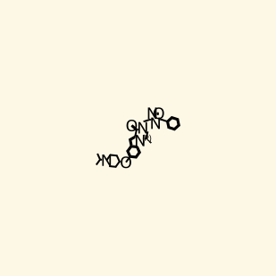 CC(C)N1CCC(Oc2ccc3c(c2)cc2n3[C@H](C)CN(Cc3noc(-c4ccccc4)n3)C2=O)CC1